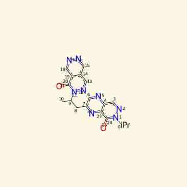 CC(C)n1ncc2ncc(CC(C)n3ncc4cnncc4c3=O)nc2c1=O